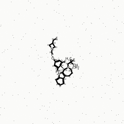 C[C@@H]1CCc2c([nH]c3ccccc23)[C@@H](c2c(F)cc(OCCN3CC(CF)C3)cc2F)N1CC(C)(C)F